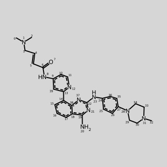 CN(C)CC=CC(=O)Nc1ccnc(-c2cccc3c(N)nc(Nc4ccc(N5CCN(C)CC5)cc4)nc23)c1